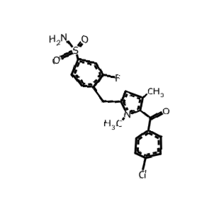 Cc1cc(Cc2ccc(S(N)(=O)=O)cc2F)n(C)c1C(=O)c1ccc(Cl)cc1